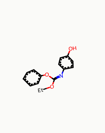 CCOC(=Nc1ccc(O)cc1)Oc1ccccc1